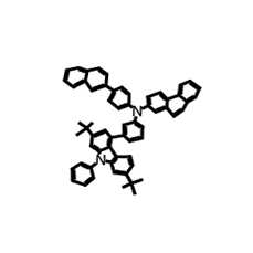 CC(C)(C)c1ccc2c3c(-c4cccc(N(c5ccc(-c6ccc7ccccc7c6)cc5)c5ccc6c(ccc7ccccc76)c5)c4)cc(C(C)(C)C)cc3n(-c3ccccc3)c2c1